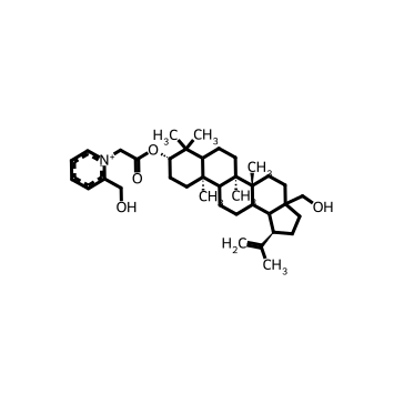 C=C(C)[C@@H]1CCC2(CO)CC[C@]3(C)C(CCC4[C@@]5(C)CC[C@H](OC(=O)C[n+]6ccccc6CO)C(C)(C)C5CC[C@]43C)C12